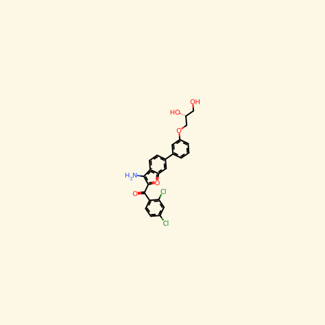 Nc1c(C(=O)c2ccc(Cl)cc2Cl)oc2cc(-c3cccc(OC[C@H](O)CO)c3)ccc12